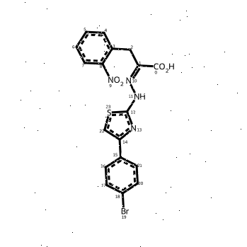 O=C(O)C(Cc1ccccc1[N+](=O)[O-])=NNc1nc(-c2ccc(Br)cc2)cs1